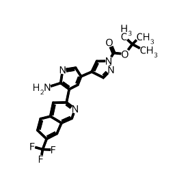 CC(C)(C)OC(=O)n1cc(-c2cnc(N)c(-c3cc4ccc(C(F)(F)F)cc4cn3)c2)cn1